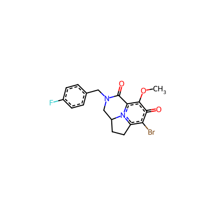 COc1c2n3c(c(Br)c1=O)CCC3CN(Cc1ccc(F)cc1)C2=O